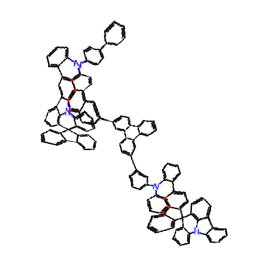 c1ccc(-c2ccc(N(c3ccc4c(ccc5ccc(-c6ccc7c8ccccc8c8cc(-c9cccc(N(c%10ccccc%10)c%10ccccc%10-c%10ccc%11c(c%10)-c%10ccccc%10C%11%10c%11ccccc%11-n%11c%12ccccc%12c%12cccc%10c%12%11)c9)ccc8c7c6)cc54)c3)c3ccccc3-c3ccc4c(c3)c3cccc5c3n4-c3ccccc3C53c4ccccc4-c4ccccc43)cc2)cc1